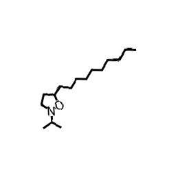 CCCCCCCCCCC1CCN(C(C)C)O1